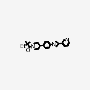 CCC(C)(C)C(=O)N1CCC(c2ccc(N3CC(c4cccnc4)C3)cc2)CC1